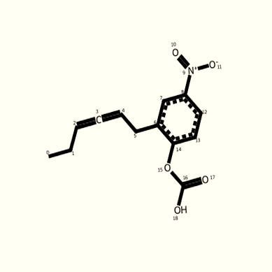 CCC=C=CCc1cc([N+](=O)[O-])ccc1OC(=O)O